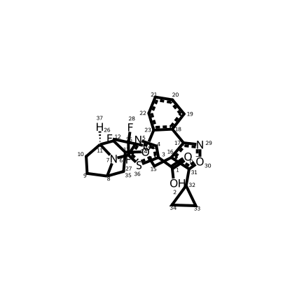 O=C(O)c1cnc(N2C3CC[C@H]2CC(OCc2c(-c4ccccc4OC(F)(F)F)noc2C2CC2)C3)s1